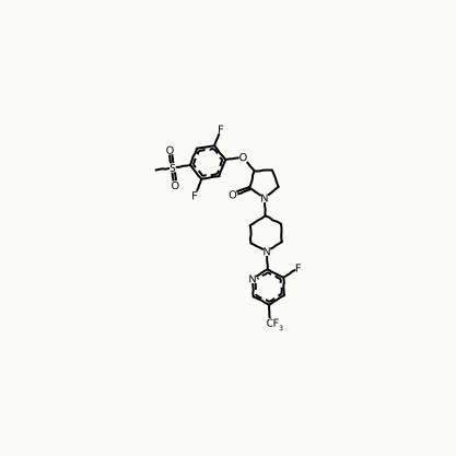 CS(=O)(=O)c1cc(F)c(OC2CCN(C3CCN(c4ncc(C(F)(F)F)cc4F)CC3)C2=O)cc1F